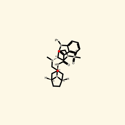 CC(C)n1nc(C(=O)N[C@@H]2C[C@H]3CC[C@@H](C2)N3CCN(C)[C@@H]2CCN(S(C)(=O)=O)C2)c2ccccc21